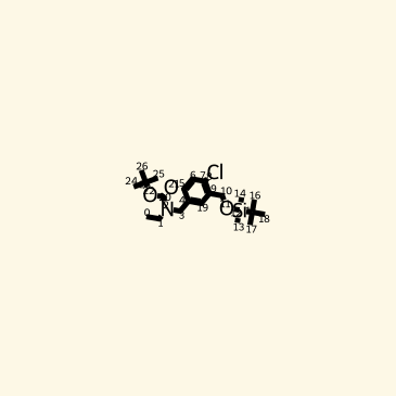 CCN(Cc1ccc(Cl)c(CO[Si](C)(C)C(C)(C)C)c1)C(=O)OC(C)(C)C